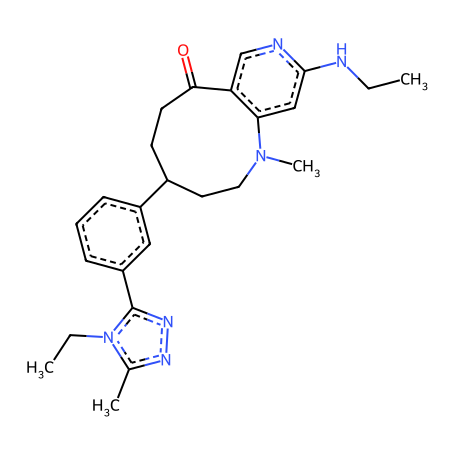 CCNc1cc2c(cn1)C(=O)CCC(c1cccc(-c3nnc(C)n3CC)c1)CCN2C